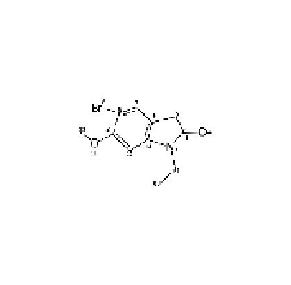 CCN1C(=O)Cc2cc(Br)c(OC)cc21